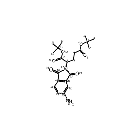 CC(C)(C)OC(=O)CCC(C(=O)OC(C)(C)C)N1C(=O)c2ccc(N)cc2C1=O